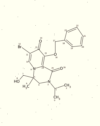 CC(C)N1CC(C)(CO)n2cc(Br)c(=O)c(OCc3ccccc3)c2C1=O